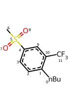 CCCCc1ccc(S(C)(=O)=O)cc1C(F)(F)F